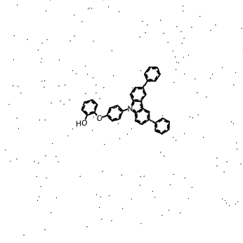 Oc1ccccc1Oc1ccc(-n2c3ccc(-c4ccccc4)cc3c3cc(-c4ccccc4)ccc32)cc1